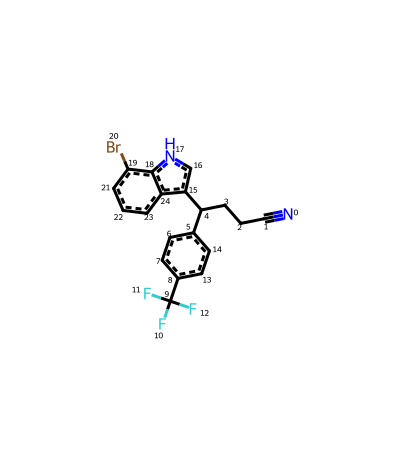 N#CCCC(c1ccc(C(F)(F)F)cc1)c1c[nH]c2c(Br)cccc12